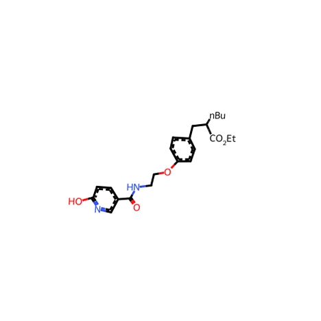 CCCCC(Cc1ccc(OCCNC(=O)c2ccc(O)nc2)cc1)C(=O)OCC